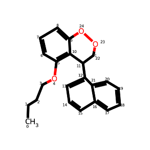 CCCCOc1cccc2c1C(c1cccc3ccccc13)[C]OO2